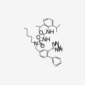 CCCCCN(Cc1ccc(-c2ccccc2)c(-c2nnn[nH]2)c1)S(=O)(=O)NC(=O)Nc1c(C(C)C)cccc1C(C)C